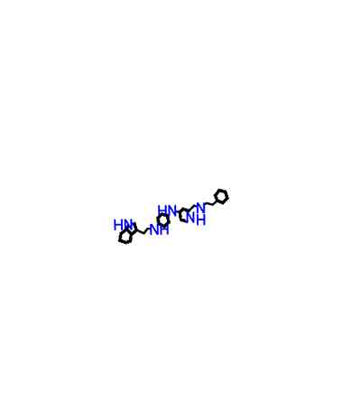 c1ccc(CCNCc2cc(Nc3ccc(NCCc4c[nH]c5ccccc45)cc3)ccn2)cc1